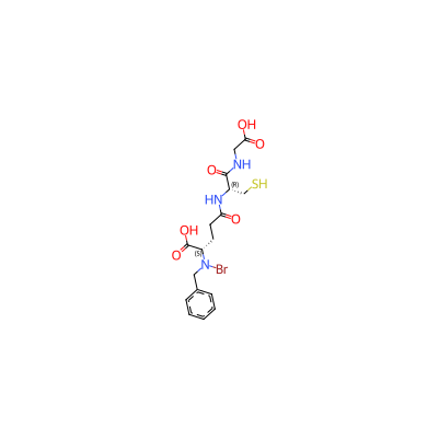 O=C(O)CNC(=O)[C@H](CS)NC(=O)CC[C@@H](C(=O)O)N(Br)Cc1ccccc1